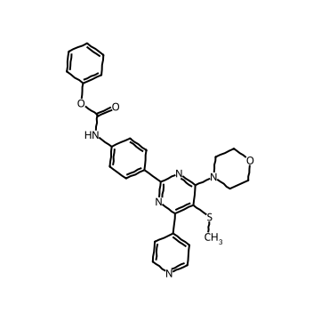 CSc1c(-c2ccncc2)nc(-c2ccc(NC(=O)Oc3ccccc3)cc2)nc1N1CCOCC1